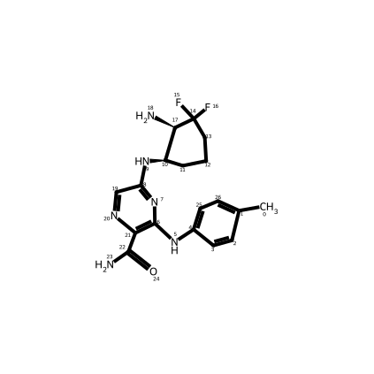 Cc1ccc(Nc2nc(N[C@@H]3CCCC(F)(F)[C@@H]3N)cnc2C(N)=O)cc1